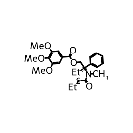 CCSC(=O)N(C)[C@](CC)(COC(=O)c1cc(OC)c(OC)c(OC)c1)c1ccccc1